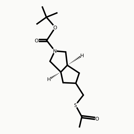 CC(=O)SCC1C[C@@H]2CN(C(=O)OC(C)(C)C)C[C@@H]2C1